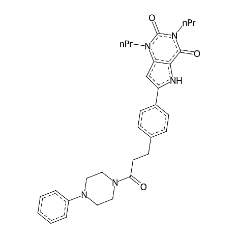 CCCn1c(=O)c2[nH]c(-c3ccc(CCC(=O)N4CCN(c5ccccc5)CC4)cc3)cc2n(CCC)c1=O